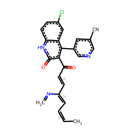 C=NC(=C\C=C/C)/C=C/C(=O)c1c(-c2cncc(C#N)c2)c2cc(Cl)ccc2[nH]c1=O